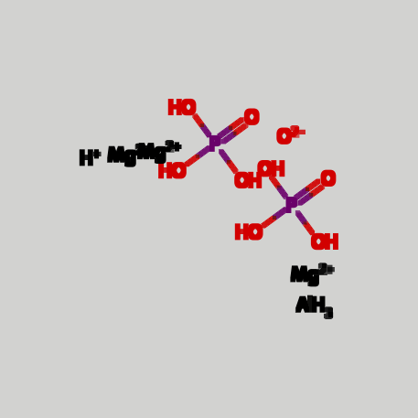 O=P(O)(O)O.O=P(O)(O)O.[AlH3].[H+].[Mg+2].[Mg+2].[Mg+2].[O-2]